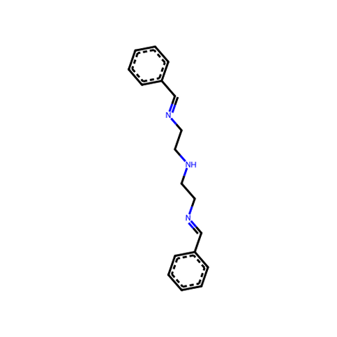 C(=NCCNCCN=Cc1ccccc1)c1ccccc1